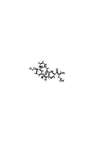 CCCN(CCO)C(=O)c1cnc(NS(=O)(=O)c2ccc(C)cc2)c(OCc2cccnc2)n1